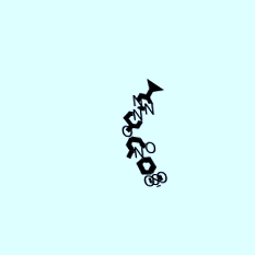 Cc1cc(OC2CCN(c3ncc(C4CC4)cn3)CC2)cc(=O)n1-c1ccc(S(C)(=O)=O)cc1